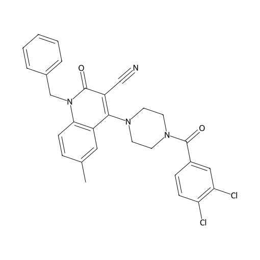 Cc1ccc2c(c1)c(N1CCN(C(=O)c3ccc(Cl)c(Cl)c3)CC1)c(C#N)c(=O)n2Cc1ccccc1